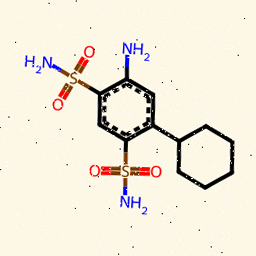 Nc1cc(C2CCCCC2)c(S(N)(=O)=O)cc1S(N)(=O)=O